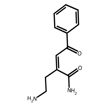 NCCC(=CC(=O)c1ccccc1)C(N)=O